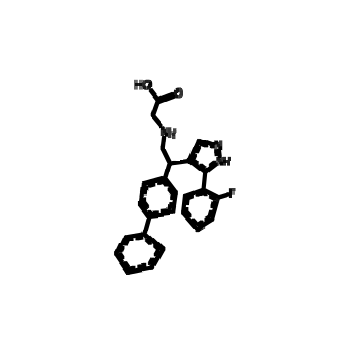 O=C(O)CNCC(c1ccc(-c2ccccc2)cc1)c1cn[nH]c1-c1ccccc1F